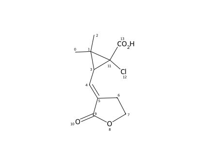 CC1(C)C(C=C2CCOC2=O)C1(Cl)C(=O)O